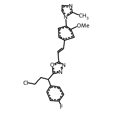 COc1cc(C=Cc2nnc(C(CCCl)c3ccc(F)cc3)o2)ccc1-n1ccnc1C